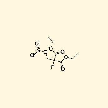 CCOC(=O)C(F)(COS(=O)Cl)C(=O)OCC